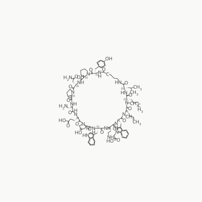 CCCC[C@H]1C(=O)N(C)[C@@H](CCCC)C(=O)N[C@@H](CC(C)C)C(=O)NCCCCC(=O)N[C@@H](Cc2ccc(O)cc2)C(=O)N2CCCC[C@H]2C(=O)N[C@@H](CC(N)=O)C(=O)N2CCC[C@H]2C(=O)N[C@@H](CN)C(=O)N[C@@H](CCC(=O)O)C(=O)N2C[C@H](O)C[C@H]2C(=O)N[C@@H](Cc2c[nH]c3ccccc23)C(=O)N[C@@H](CCN)C(=O)N[C@@H](Cc2cn(CC(=O)O)c3ccccc23)C(=O)N1C